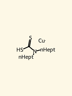 CCCCCCCN(CCCCCCC)C(=S)S.[Cu]